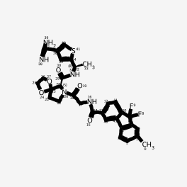 Cc1ccc2c(c1)C(F)(F)c1ccc(C(=O)NCC(=O)N3CCC4(OCCO4)[C@H]3C(=O)N[C@H](C)c3cc(C(=N)N)cs3)cc1-2